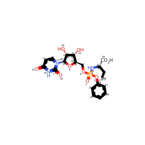 CC(C)C[C@H](NP(=O)(OC[C@H]1O[C@@H](n2ccc(=O)[nH]c2=O)[C@H](O)[C@@H]1O)Oc1ccccc1)C(=O)O